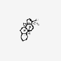 [Li][C]1=CC[C@H]2[C@@H]3CCC4CCCC[C@@H]4[C@H]3CC[C@]12C